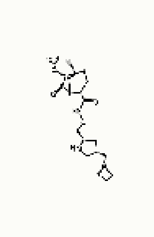 O=C(NOC[C@H]1C[C@@H](CN2CCC2)CN1)[C@@H]1CC[C@@H]2CN1C(=O)N2OS(=O)(=O)O